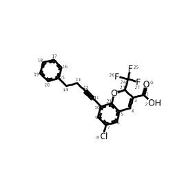 O=C(O)C1=Cc2cc(Cl)cc(C#CCCc3ccccc3)c2OC1C(F)(F)F